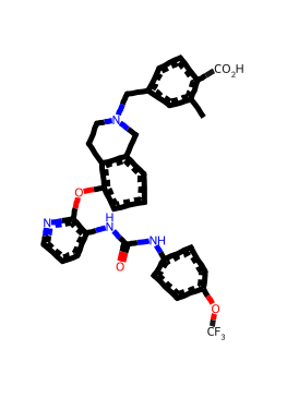 Cc1cc(CN2CCc3c(cccc3Oc3ncccc3NC(=O)Nc3ccc(OC(F)(F)F)cc3)C2)ccc1C(=O)O